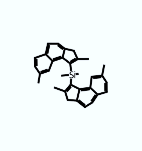 CC1=C([Si](C)(C)C2=C(C)Cc3ccc4ccc(C)cc4c32)c2c(ccc3ccc(C)cc23)C1